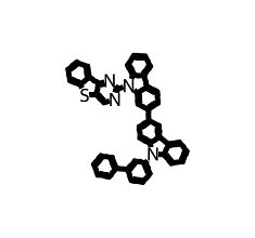 c1ccc(-c2cccc(-n3c4ccccc4c4cc(-c5ccc6c7ccccc7n(-c7ncc8sc9ccccc9c8n7)c6c5)ccc43)c2)cc1